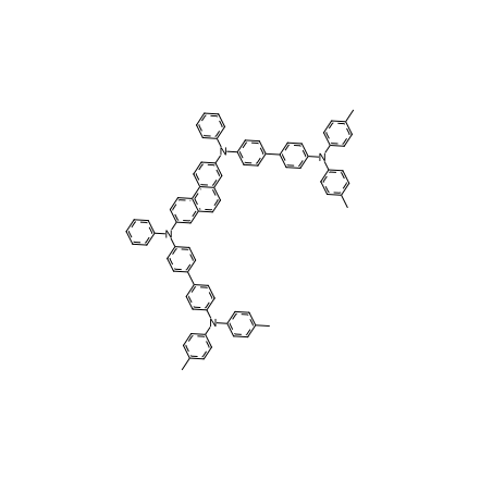 Cc1ccc(N(c2ccc(C)cc2)c2ccc(-c3ccc(N(c4ccccc4)c4ccc5c(ccc6cc(N(c7ccccc7)c7ccc(-c8ccc(N(c9ccc(C)cc9)c9ccc(C)cc9)cc8)cc7)ccc65)c4)cc3)cc2)cc1